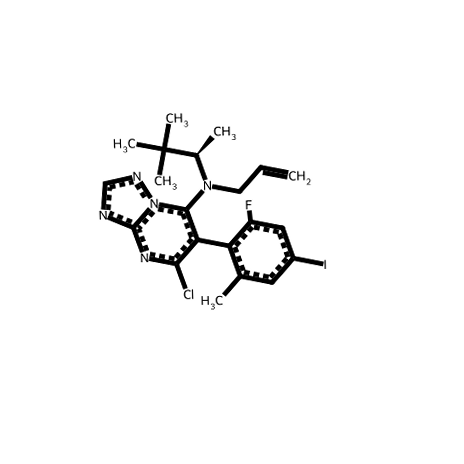 C=CCN(c1c(-c2c(C)cc(I)cc2F)c(Cl)nc2ncnn12)[C@H](C)C(C)(C)C